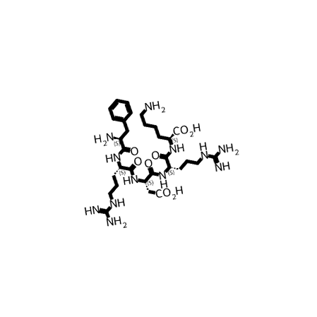 N=C(N)NCCC[C@H](NC(=O)[C@H](CC(=O)O)NC(=O)[C@H](CCCNC(=N)N)NC(=O)[C@@H](N)Cc1ccccc1)C(=O)N[C@@H](CCCCN)C(=O)O